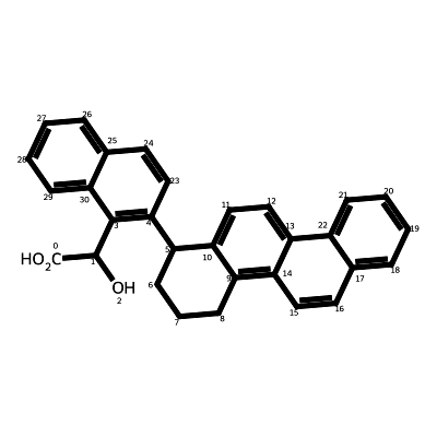 O=C(O)C(O)c1c(C2CCCc3c2ccc2c3ccc3ccccc32)ccc2ccccc12